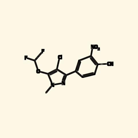 Cn1nc(-c2ccc(C#N)c([N+](=O)[O-])c2)c(Cl)c1OC(F)F